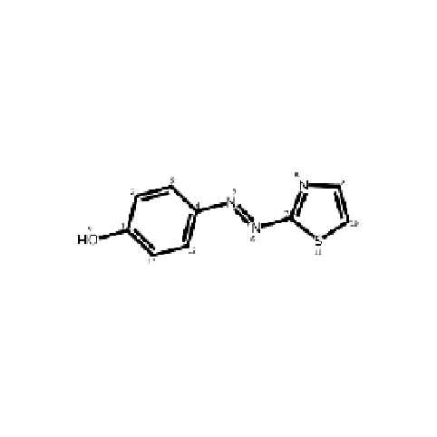 Oc1ccc(N=Nc2nccs2)cc1